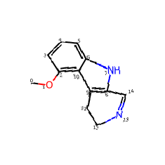 COc1cccc2[nH]c3c(c12)CCN=C3